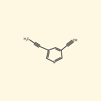 C#Cc1cncc(C#CC)c1